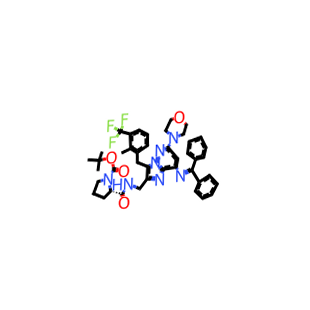 Cc1c(Cc2c(CNC(=O)[C@@H]3CCCN3C(=O)OC(C)(C)C)nc3c(N=C(c4ccccc4)c4ccccc4)cc(N4CCOCC4)nn23)cccc1C(F)(F)F